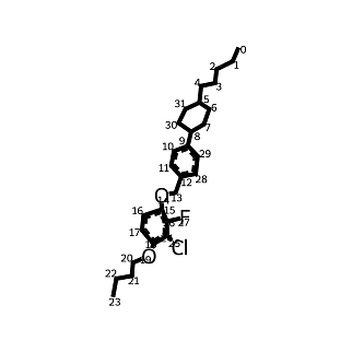 CCCCCC1CCC(c2ccc(COc3ccc(OCCCC)c(Cl)c3F)cc2)CC1